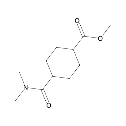 COC(=O)C1CCC(C(=O)N(C)C)CC1